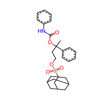 CC(CCOS(=O)(=O)C12CC3CC(CC(C3)C1)C2)(OC(=O)Nc1ccccc1)c1ccccc1